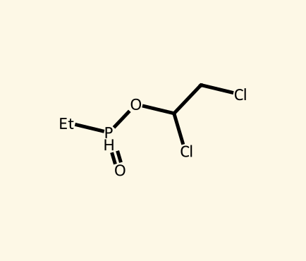 CC[PH](=O)OC(Cl)CCl